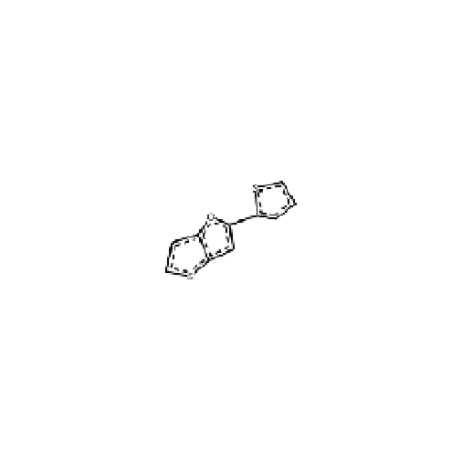 c1csc(-c2cc3sccc3o2)c1